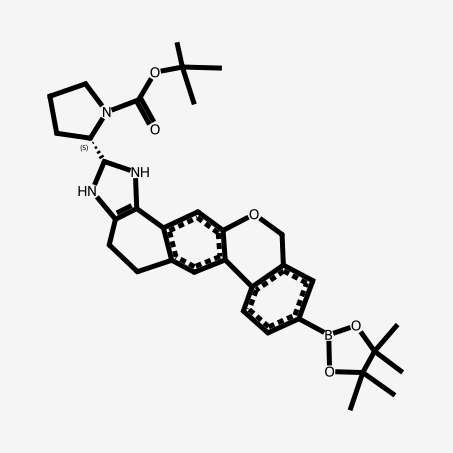 CC(C)(C)OC(=O)N1CCC[C@H]1C1NC2=C(N1)c1cc3c(cc1CC2)-c1ccc(B2OC(C)(C)C(C)(C)O2)cc1CO3